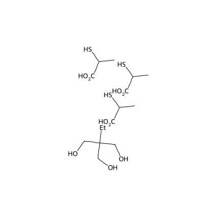 CC(S)C(=O)O.CC(S)C(=O)O.CC(S)C(=O)O.CCC(CO)(CO)CO